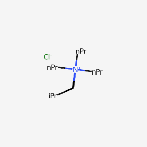 CCC[N+](CCC)(CCC)CC(C)C.[Cl-]